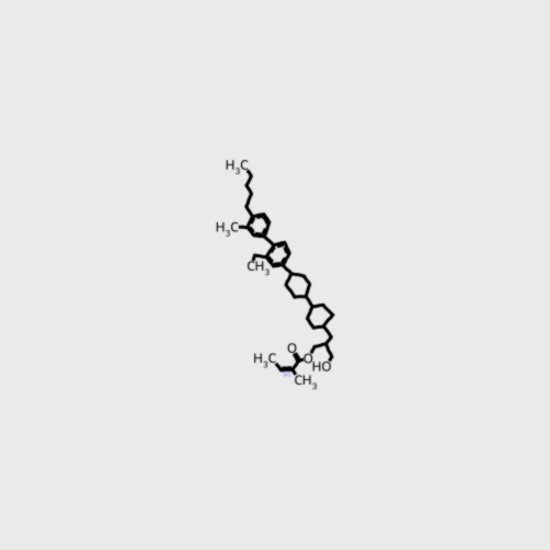 C/C=C(/C)C(=O)OCC(CO)CC1CCC(C2CCC(c3ccc(-c4ccc(CCCCC)c(C)c4)c(CC)c3)CC2)CC1